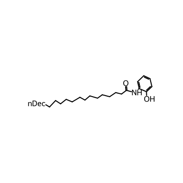 CCCCCCCCCCCCCCCCCCCCCCCC(=O)Nc1ccccc1O